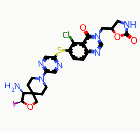 N[C@@H]1[C@H](I)OCC12CCN(c1cnc(Sc3ccc4ncn(CC5CNC(=O)O5)c(=O)c4c3Cl)cn1)CC2